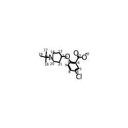 COC(=O)c1cc(Cl)ccc1OC1CCN(C(C)(C)C)CC1